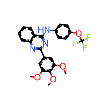 COc1cc(-c2nc(Nc3ccc(OC(F)(F)F)cc3)c3ccccc3n2)cc(OC)c1OC